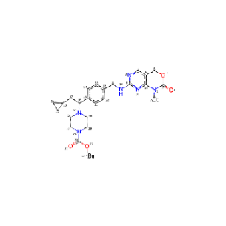 CCN1C(=O)OCc2cnc(NCc3ccc(C(CC4CC4)N4CCN(C(=O)OC(C)(C)C)CC4)cc3)nc21